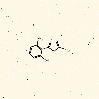 Nc1cnc(-c2c(N)cccc2O)s1